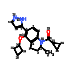 C[C@H]1CCc2c(ccc(-c3ccn[nH]3)c2OC2CCC2)N1C(=O)C1CC1